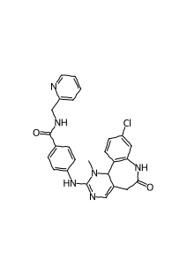 CN1C(Nc2ccc(C(=O)NCc3ccccn3)cc2)=NC=C2CC(=O)Nc3cc(Cl)ccc3C21